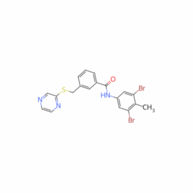 Cc1c(Br)cc(NC(=O)c2cccc(CSc3cnccn3)c2)cc1Br